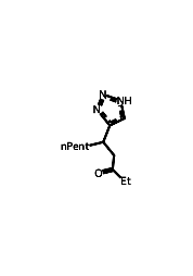 CCCCCC(CC(=O)CC)c1c[nH]nn1